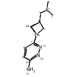 CN(C)CC1CN(c2ccc(N)nn2)C1